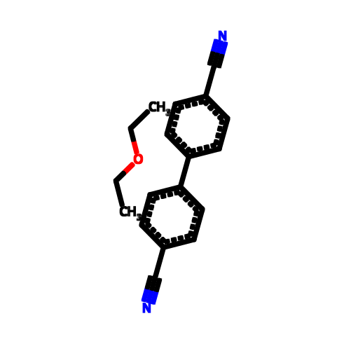 CCOCC.N#Cc1ccc(-c2ccc(C#N)cc2)cc1